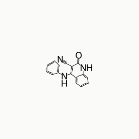 N#Cc1c(Nc2ccccc2)c2ccccc2[nH]c1=O